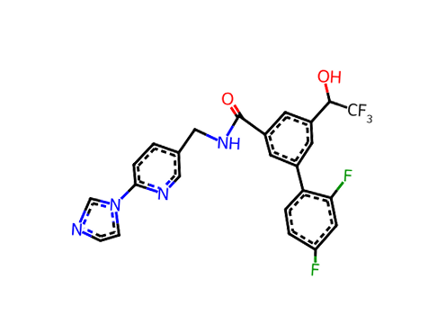 O=C(NCc1ccc(-n2ccnc2)nc1)c1cc(-c2ccc(F)cc2F)cc(C(O)C(F)(F)F)c1